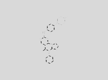 Cc1ccccc1-n1c(=O)c2cnc(Nc3ccc(N4CCN(C)CC4)cc3)nc2n2ccnc12